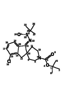 CC(C)(C)OC(=O)N1CCC2(CC1)Cc1c(Cl)cccc1C2=N[S+]([O-])C(C)(C)C